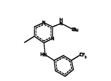 Cc1cnc(NC(C)(C)C)nc1Nc1cccc(C(F)(F)F)c1